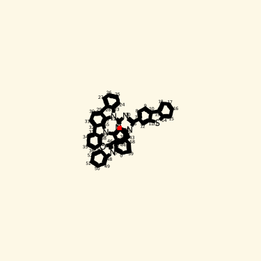 c1ccc(-c2nc(-c3ccc4c(c3)sc3ccccc34)nc(-n3c4ccccc4c4ccc5c6ccccc6n(-c6ccccc6-c6nc7ccccc7o6)c5c43)n2)cc1